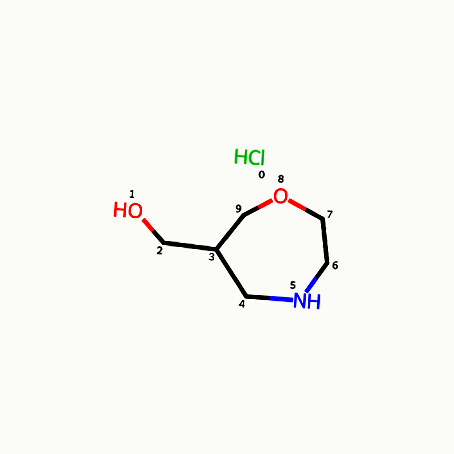 Cl.OCC1CNCCOC1